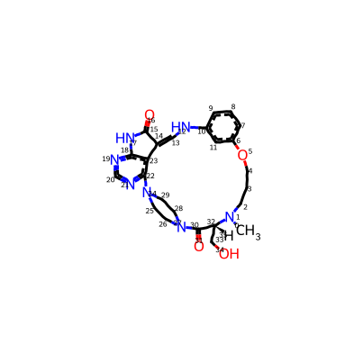 CN1CCCOc2cccc(c2)N/C=C2\C(=O)Nc3ncnc(c32)N2CCN(CC2)C(=O)[C@H]1CO